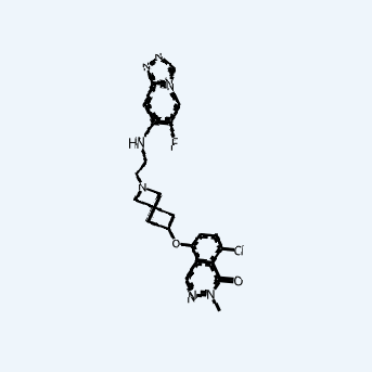 Cn1ncc2c(OC3CC4(C3)CN(CCNc3cc5nncn5cc3F)C4)ccc(Cl)c2c1=O